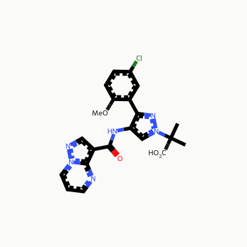 COc1ccc(Cl)cc1-c1nn(C(C)(C)C(=O)O)cc1NC(=O)c1cnn2cccnc12